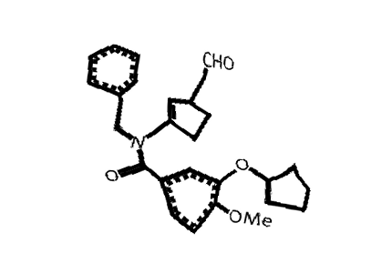 COc1ccc(C(=O)N(Cc2ccccc2)C2=CC(C=O)CC2)cc1OC1CCCC1